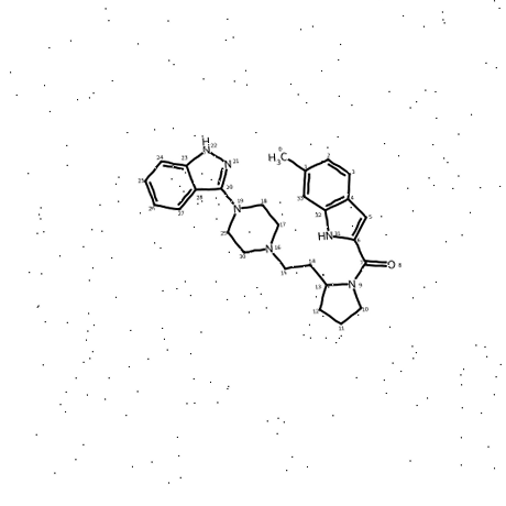 Cc1ccc2cc(C(=O)N3CCCC3CCN3CCN(c4n[nH]c5ccccc45)CC3)[nH]c2c1